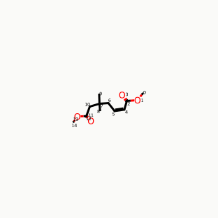 COC(=O)/C=C\CC(C)(C)CC(=O)OC